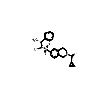 CCN([C@H](C)c1ccccc1)S(=O)(=O)c1ccc2c(c1)CCN(C(=O)C1CC1)C2